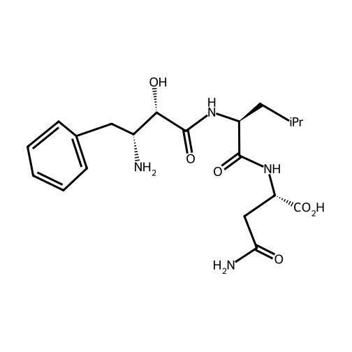 CC(C)C[C@H](NC(=O)[C@@H](O)[C@H](N)Cc1ccccc1)C(=O)N[C@@H](CC(N)=O)C(=O)O